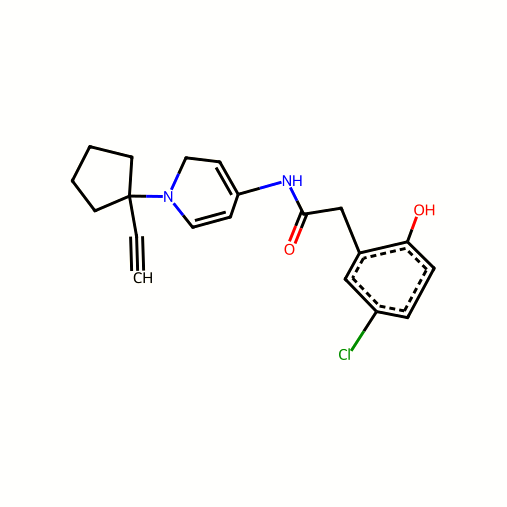 C#CC1(N2C=CC(NC(=O)Cc3cc(Cl)ccc3O)=CC2)CCCC1